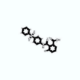 O=C(O)c1cccc(F)c1C(=O)Nc1ccc(S(=O)(=O)c2ccccc2)cc1